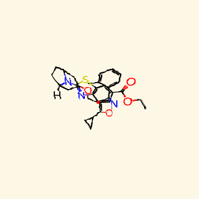 CCOC(=O)c1ccc2nc(N3C4CC[C@H]3CC(OCc3c(-c5ccccc5C)noc3C3CC3)C4)sc2c1